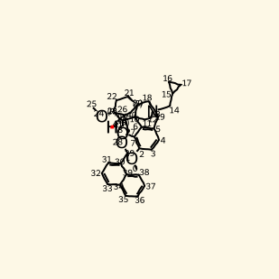 COc1ccc2c3c1O[C@@H]1C34CCN(CC3CC3)C(C2)[C@]42CC[C@@]1(OC)[C@@H](COCc1cccc3ccccc13)C2